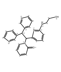 O=c1ccccn1C(c1cccc(NCCO)n1)C(c1cccnc1)c1cccnc1